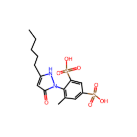 CCCCCc1cc(=O)n(-c2c(C)cc(S(=O)(=O)O)cc2S(=O)(=O)O)[nH]1